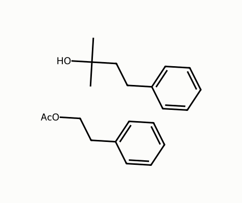 CC(=O)OCCc1ccccc1.CC(C)(O)CCc1ccccc1